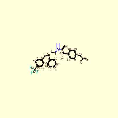 C=C(NCC[C@@H](Cc1ccc(C(F)(F)F)cc1)c1ccccc1)[C@@H](C)c1ccc(CC(C)C)cc1